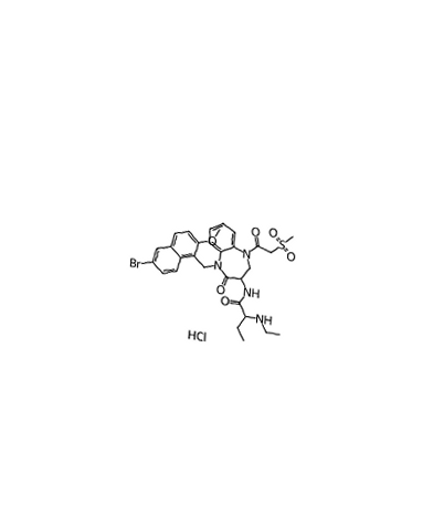 CCNC(CC)C(=O)NC1CN(C(=O)CS(C)(=O)=O)c2ccccc2N(Cc2c(OC)ccc3cc(Br)ccc23)C1=O.Cl